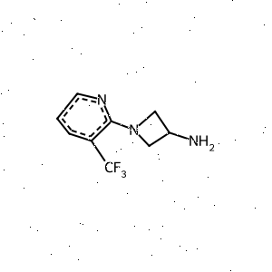 NC1CN(c2ncccc2C(F)(F)F)C1